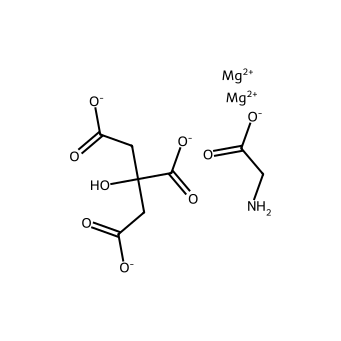 NCC(=O)[O-].O=C([O-])CC(O)(CC(=O)[O-])C(=O)[O-].[Mg+2].[Mg+2]